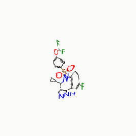 O=S(=O)(c1ccc(OC(F)F)cc1)N1c2ccc(F)cc2-c2[nH]ncc2C1C1CC1